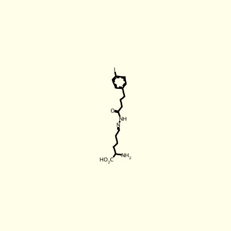 NC(CCC/C=N/NC(=O)CCCc1ccc(I)cc1)C(=O)O